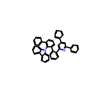 c1ccc(-c2cc(-c3ccccc3)nc(-c3ccccc3-c3cccc(-c4ccccc4)c3-n3c4ccccc4c4ccccc43)c2)cc1